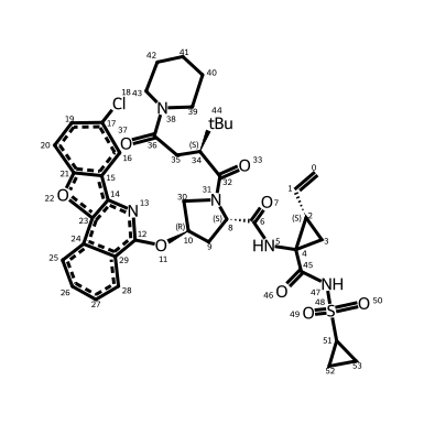 C=C[C@@H]1CC1(NC(=O)[C@@H]1C[C@@H](Oc2nc3c4cc(Cl)ccc4oc3c3ccccc23)CN1C(=O)[C@@H](CC(=O)N1CCCCC1)C(C)(C)C)C(=O)NS(=O)(=O)C1CC1